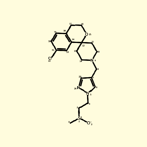 C[S+]([O-])CCn1cc(CN2CCC3(CC2)OCCc2ccc(Cl)cc23)cn1